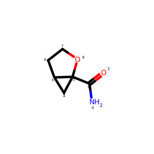 NC(=O)C12CC1CCO2